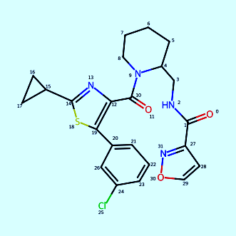 O=C(NCC1CCCCN1C(=O)c1nc(C2CC2)sc1-c1cccc(Cl)c1)c1ccon1